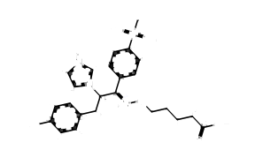 CS(=O)(=O)c1ccc(/C(=N\OCCCCC(=O)O)C(Cc2ccc(F)cc2)n2ccnc2)cc1